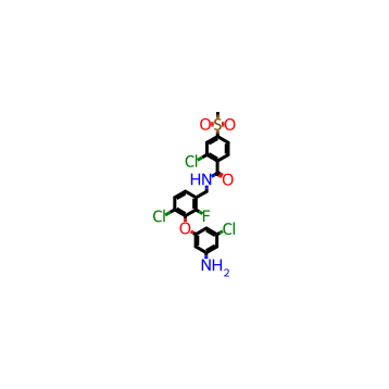 CS(=O)(=O)c1ccc(C(=O)NCc2ccc(Cl)c(Oc3cc(N)cc(Cl)c3)c2F)c(Cl)c1